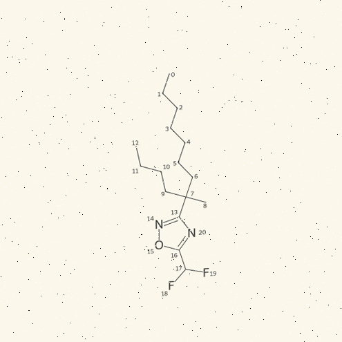 CCCCCCCC(C)(CCCC)c1noc(C(F)F)n1